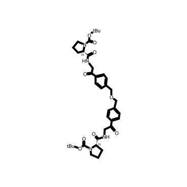 CC(C)(C)OC(=O)N1CCC[C@H]1C(=O)NCC(=O)c1ccc(COCc2ccc(C(=O)CNC(=O)[C@@H]3CCCN3C(=O)OC(C)(C)C)cc2)cc1